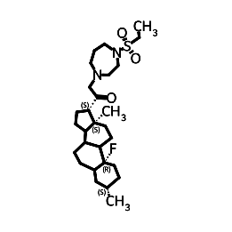 CCS(=O)(=O)N1CCCN(CC(=O)[C@H]2CCC3C4CCC5C[C@@H](C)CC[C@]5(F)C4CC[C@@]32C)CC1